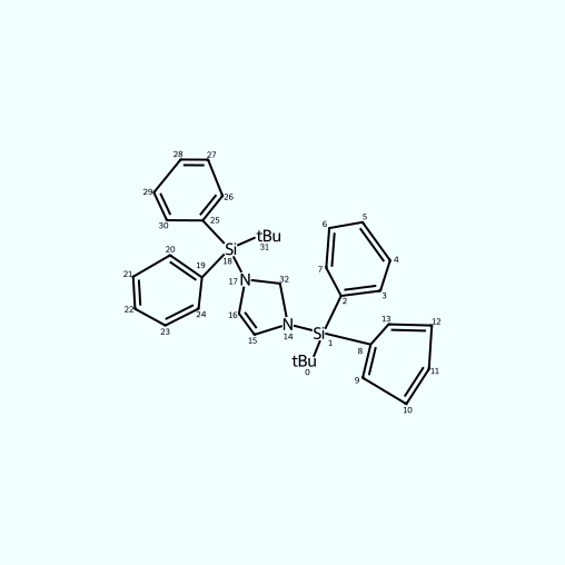 CC(C)(C)[Si](c1ccccc1)(c1ccccc1)N1C=CN([Si](c2ccccc2)(c2ccccc2)C(C)(C)C)C1